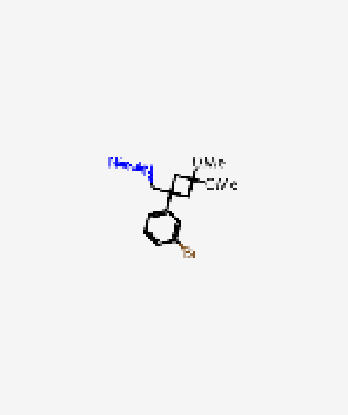 COC1(OC)CC(CN=[N+]=[N-])(c2cccc(Br)c2)C1